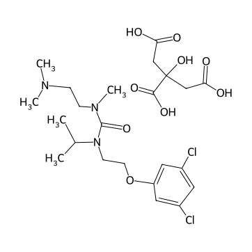 CC(C)N(CCOc1cc(Cl)cc(Cl)c1)C(=O)N(C)CCN(C)C.O=C(O)CC(O)(CC(=O)O)C(=O)O